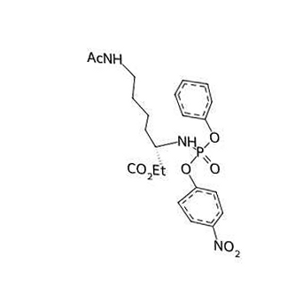 CCOC(=O)[C@H](CCCCNC(C)=O)NP(=O)(Oc1ccccc1)Oc1ccc([N+](=O)[O-])cc1